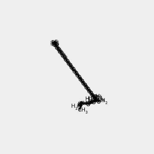 CCCCCc1cc2c(CCCCCNC(=O)OCc3ccc(NC(=O)[C@H](CCCNC(N)=O)NC(=O)[C@@H](NC(=O)CCOCCOCCOCCOCCOCCOCCOCCOCCOCCOCCOCCOCCOCCOCCOCCOCCOCCOCCOCCOCCOCCOCCOCCOCCOCCC(=O)Oc4c(F)c(F)cc(F)c4F)C(C)C)cc3)cccc2nc1N